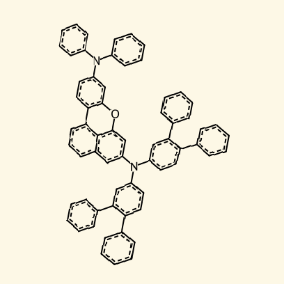 c1ccc(-c2ccc(N(c3ccc(-c4ccccc4)c(-c4ccccc4)c3)c3cc4c5c(cccc5c3)-c3ccc(N(c5ccccc5)c5ccccc5)cc3O4)cc2-c2ccccc2)cc1